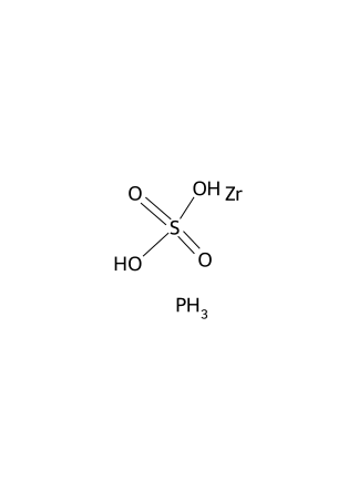 O=S(=O)(O)O.P.[Zr]